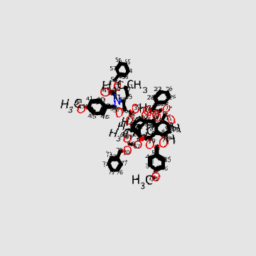 COc1ccc(C2O[C@H]3C[C@H]4OC[C@@]4(OC(C)=O)[C@H]4[C@H](OC(=O)c5ccccc5)[C@]5(O)C[C@H](OC(=O)[C@@H]6OC(c7ccc(OC)cc7)N(C(=O)OCc7ccccc7)[C@H]6CC(C)C)C(C)=C([C@H](OC(=O)OCc6ccccc6)[C@H](O2)[C@]34C)C5(C)C)cc1